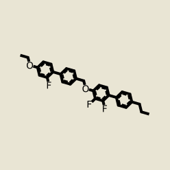 CCCc1ccc(-c2ccc(OCc3ccc(-c4ccc(OCC)cc4F)cc3)c(F)c2F)cc1